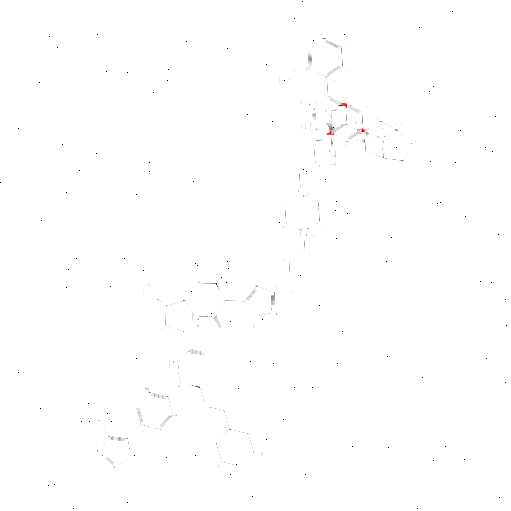 Cc1ncsc1-c1ccc([C@H](COCC2CCOCC2)NC(=O)[C@@H]2C[C@@H](O)CN2C(=O)[C@H](c2cc(OCCN3CCN(CCOc4cc(N5C6CCC5CN(c5cc(-c7ccccc7O)nnc5N)C6)ccn4)CC3)no2)C(C)C)cc1